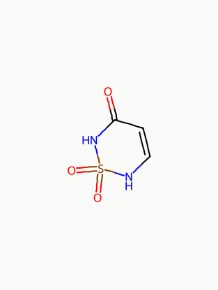 O=C1C=CNS(=O)(=O)N1